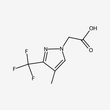 Cc1cn(CC(=O)O)nc1C(F)(F)F